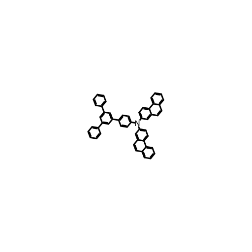 c1ccc(-c2cc(-c3ccccc3)cc(-c3ccc(N(c4ccc5c(ccc6ccccc65)c4)c4ccc5c(ccc6ccccc65)c4)cc3)c2)cc1